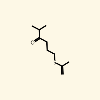 C=C(C)SCCCC(=O)C(C)C